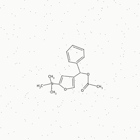 CC(=O)OC(c1ccccc1)c1coc([Si](C)(C)C)c1